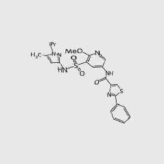 COc1ncc(NC(=O)c2csc(-c3ccccc3)n2)cc1S(=O)(=O)Nc1cc(C)n(C(C)C)n1